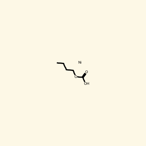 CCCCOC(=O)O.[Ni]